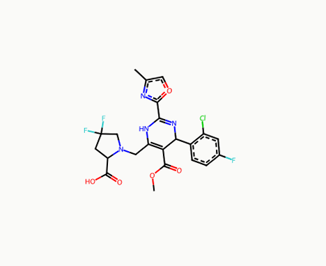 COC(=O)C1=C(CN2CC(F)(F)CC2C(=O)O)NC(c2nc(C)co2)=NC1c1ccc(F)cc1Cl